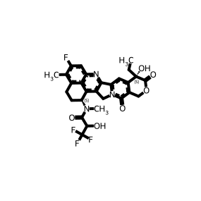 CC[C@@]1(O)C(=O)OCc2c1cc1n(c2=O)Cc2c-1nc1cc(F)c(C)c3c1c2[C@@H](N(C)C(=O)C(O)C(F)(F)F)CC3